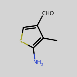 Cc1c(C=O)csc1N